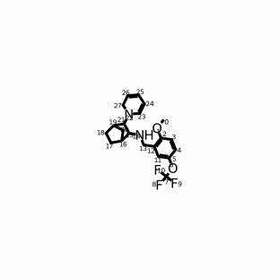 COc1ccc(OC(F)(F)F)cc1CNC1C2CCC(C2)C1N1C=CC=CC1